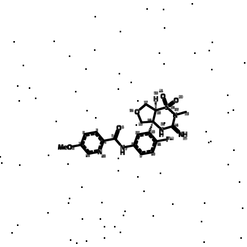 COc1ccc(C(=O)Nc2ccc(F)c([C@]34COC[C@H]3S(=O)(=O)N(C)C(=N)N4)c2)nc1